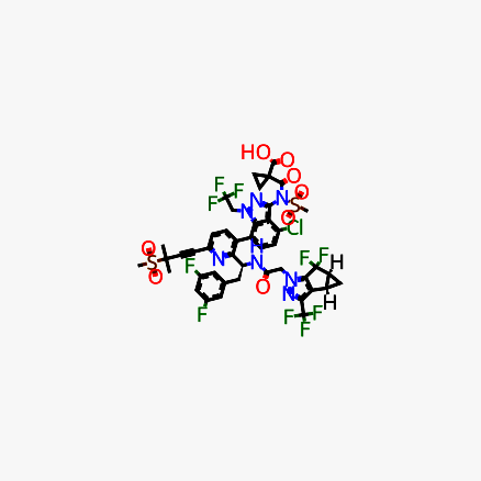 CC(C)(C#Cc1ccc(-c2ccc(Cl)c3c(N(C(=O)C4(C(=O)O)CC4)S(C)(=O)=O)nn(CC(F)(F)F)c23)c([C@H](Cc2cc(F)cc(F)c2)NC(=O)Cn2nc(C(F)(F)F)c3c2C(F)(F)[C@@H]2C[C@H]32)n1)S(C)(=O)=O